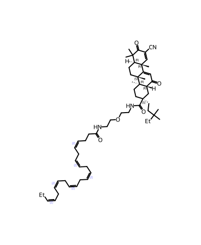 CC/C=C\C/C=C\C/C=C\C/C=C\C/C=C\C/C=C\CCC(=O)NCCOCCNC(=O)[C@@]1(CCC(C)(C)CC)CC[C@]2(C)[C@@H](C1)C(=O)C=C1[C@@]3(C)C=C(C#N)C(=O)C(C)(C)[C@@H]3CC[C@]12C